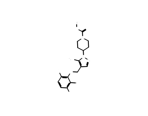 CC(C)OC(=O)N1CCC(n2ncc(COc3c(F)ccc(F)c3F)c2C#N)CC1